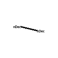 CCCCCCCCCCCCCCC[CH]CCCCCCCCCCCCCCCCCCCCCCC